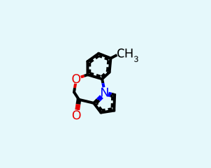 Cc1ccc2c(c1)-n1cccc1C(=O)CO2